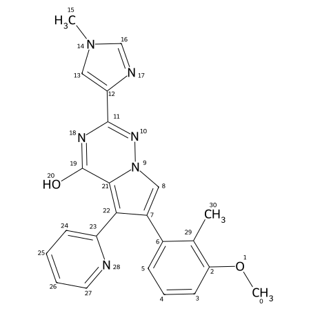 COc1cccc(-c2cn3nc(-c4cn(C)cn4)nc(O)c3c2-c2ccccn2)c1C